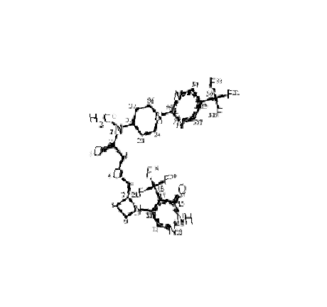 CN(C(=O)COCC1CCN1c1cn[nH]c(=O)c1C(F)(F)F)C1CCN(c2ncc(C(F)(F)F)cn2)CC1